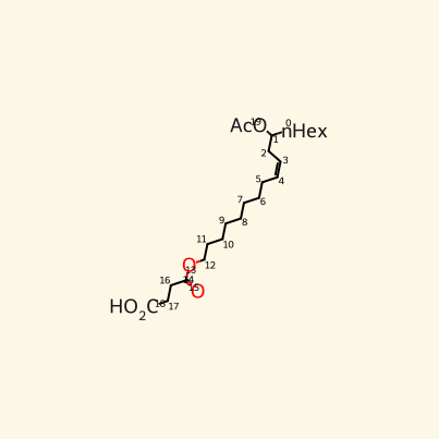 CCCCCCC(C/C=C\CCCCCCCCOC(=O)CCC(=O)O)OC(C)=O